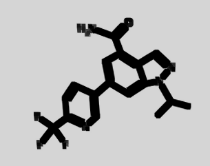 CC(C)n1ncc2c(C(N)=O)cc(-c3ccc(C(F)(F)F)nc3)cc21